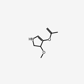 C=C(C)OC1=CNCC1OC